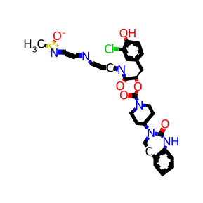 C[S+]([O-])N=C=C=NC=C=C=NC(=O)[C@@H](Cc1ccc(O)c(Cl)c1)OC(=O)N1CCC(N2CCc3ccccc3NC2=O)CC1